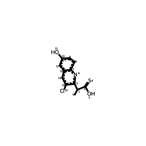 CC(C(O)=S)c1nc2ccc(O)cc2cc1Cl